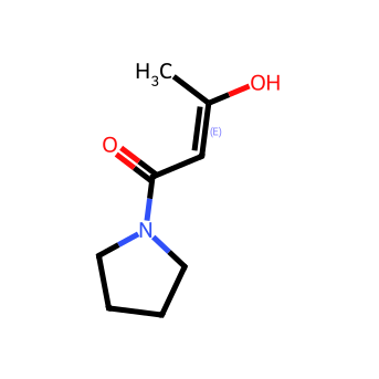 C/C(O)=C\C(=O)N1CCCC1